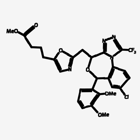 COC(=O)CCCc1cnc(CC2OC(c3cccc(OC)c3OC)c3cc(Cl)ccc3-n3c2nnc3C(F)(F)F)o1